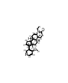 CCN1C(=O)CC[C@@]2(C)C1=CC[C@@H]1[C@@H]2CC[C@]2(C)C(c3cnccc3OC)=CC[C@@H]12